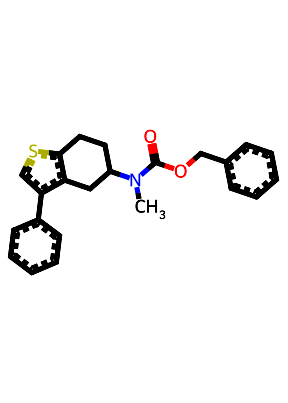 CN(C(=O)OCc1ccccc1)C1CCc2scc(-c3ccccc3)c2C1